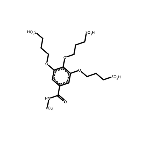 CCCCNC(=O)c1cc(OCCCS(=O)(=O)O)c(OCCCS(=O)(=O)O)c(OCCCS(=O)(=O)O)c1